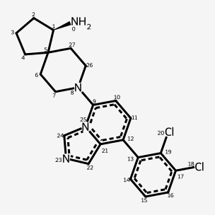 N[C@@H]1CCCC12CCN(c1ccc(-c3cccc(Cl)c3Cl)c3cncn13)CC2